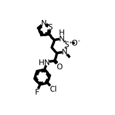 CN1C(C(=O)Nc2ccc(F)c(Cl)c2)CC(c2ccns2)N[S+]1[O-]